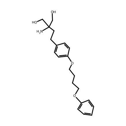 NC(CO)(CO)CCc1ccc(OCCCCOc2ccccc2)cc1